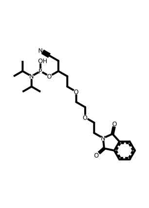 CC(C)N(C(C)C)P(O)OC(CC#N)CCOCCOCCN1C(=O)c2ccccc2C1=O